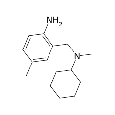 Cc1ccc(N)c(CN(C)C2CCCCC2)c1